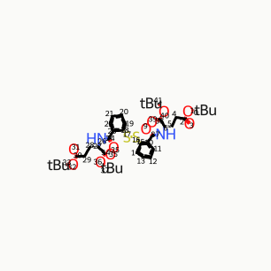 CC(C)(C)OC(=O)CC[C@H](NC(=O)c1ccccc1SSc1ccccc1C(=O)N[C@@H](CCC(=O)OC(C)(C)C)C(=O)OC(C)(C)C)C(=O)OC(C)(C)C